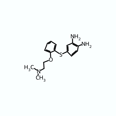 CN(C)CCOc1ccccc1Sc1ccc(N)c(N)c1